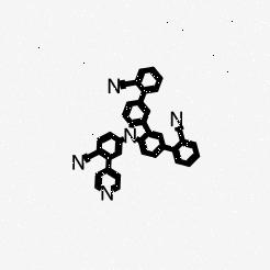 N#Cc1ccccc1-c1ccc2c(c1)c1cc(-c3ccccc3C#N)ccc1n2-c1ccc(C#N)c(-c2ccncc2)c1